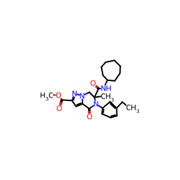 CCc1cccc(N2C(=O)c3cc(C(=O)OC)nn3CC2(C)C(=O)NC2CCCCCCC2)c1